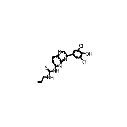 C=CCNC(=S)Nc1ccc2ncc(-c3cc(Cl)c(O)c(Cl)c3)nc2n1